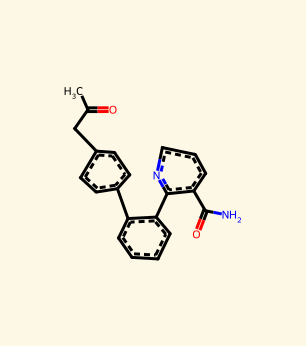 CC(=O)Cc1ccc(-c2ccccc2-c2ncccc2C(N)=O)cc1